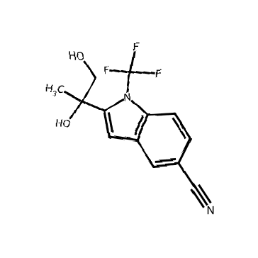 CC(O)(CO)c1cc2cc(C#N)ccc2n1C(F)(F)F